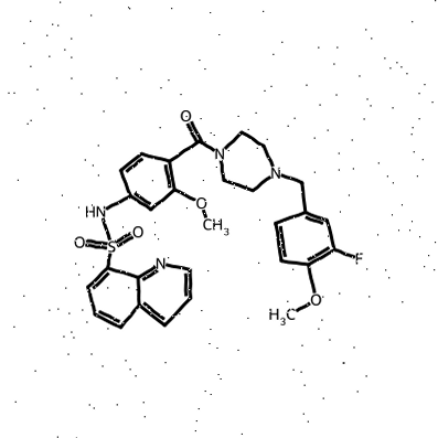 COc1ccc(CN2CCN(C(=O)c3ccc(NS(=O)(=O)c4cccc5cccnc45)cc3OC)CC2)cc1F